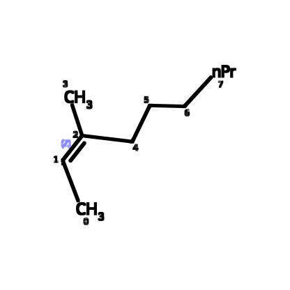 C/[C]=C(/C)CCCCCC